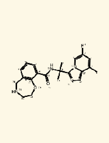 Cc1cc(F)cn2c(C(C)(C)NC(=O)c3cccc4c3OCCNC4)ncc12